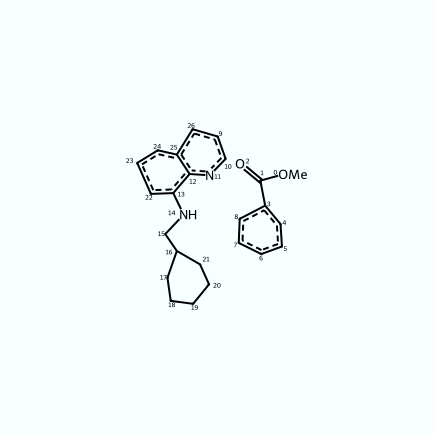 COC(=O)c1ccccc1.c1cnc2c(NCC3CCCCC3)cccc2c1